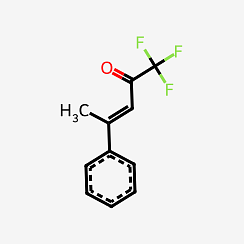 C/C(=C\C(=O)C(F)(F)F)c1ccccc1